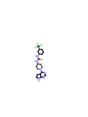 O=C(Nc1cccc(C(F)(F)F)c1)NC1CCN(c2ncnc3[nH]ccc23)CC1